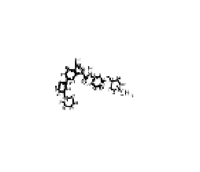 CN1CCC(Oc2cc(NC(=O)c3n[nH]c4ccc(-c5cncc(N6CCCCC6)c5)cc34)ccn2)CC1